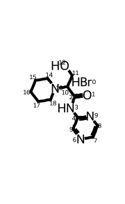 Br.O=C(Nc1cnccn1)C(CO)N1CCCCC1